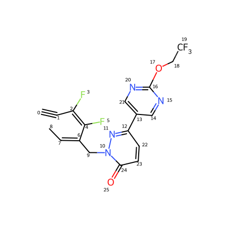 C#C/C(F)=C(F)\C(=C/C)Cn1nc(-c2cnc(OCC(F)(F)F)nc2)ccc1=O